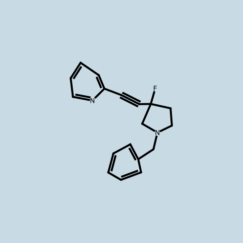 FC1(C#Cc2ccccn2)CCN(Cc2ccccc2)C1